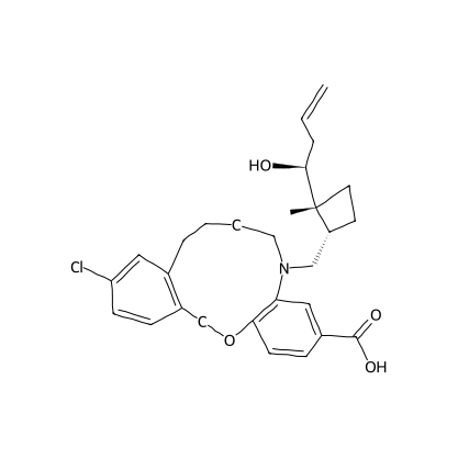 C=CC[C@H](O)[C@]1(C)CC[C@@H]1CN1CCCCc2cc(Cl)ccc2COc2ccc(C(=O)O)cc21